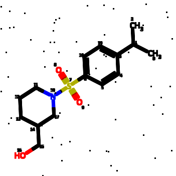 CC(C)c1ccc(S(=O)(=O)N2CCCC(CO)C2)cc1